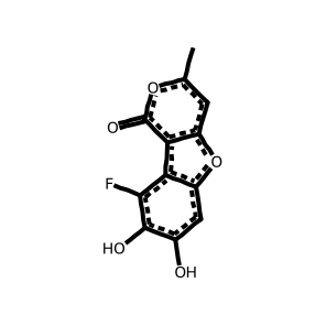 Cc1cc2oc3cc(O)c(O)c(F)c3c2c(=O)o1